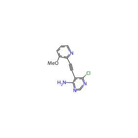 COc1cccnc1C#Cc1c(N)ncnc1Cl